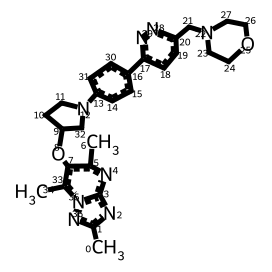 Cc1nc2nc(C)c(OC3CCN(c4ccc(-c5ccc(CN6CCOCC6)nn5)cc4)C3)c(C)n2n1